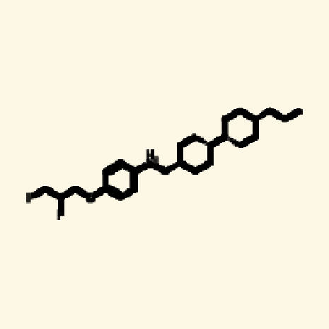 CCC[C@H]1CC[C@H]([C@H]2CC[C@H](C[SiH2]c3ccc(OCC(F)CF)cc3)CC2)CC1